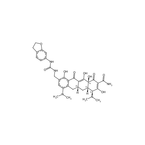 CN(C)c1cc(CNC(=O)Nc2ccc3c(c2)OCC3)c(O)c2c1C[C@H]1C[C@H]3[C@H](N(C)C)C(O)=C(C(N)=O)C(=O)[C@@]3(O)C(O)=C1C2=O